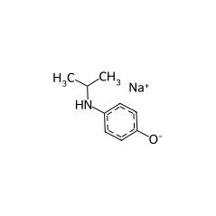 CC(C)Nc1ccc([O-])cc1.[Na+]